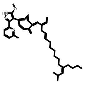 C=C1\C=C/C(c2c(-c3cccc(C)n3)n[nH]c2OC)=C/C=C/C1=C/C(=C\C)C/C=C/CCCCCC/C(=C\C(C)C)CCCC